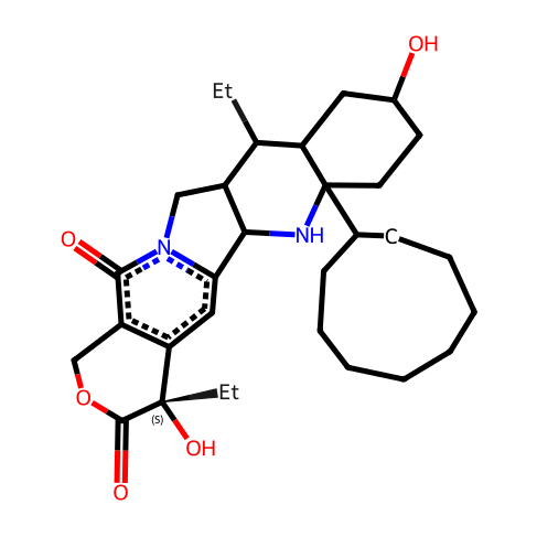 CCC1C2Cn3c(cc4c(c3=O)COC(=O)[C@]4(O)CC)C2NC2(C3CCCCCCCC3)CCC(O)CC12